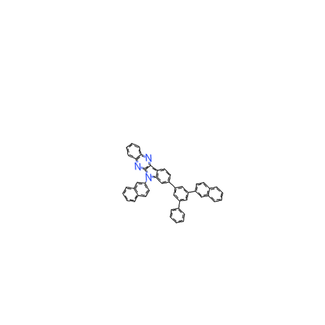 c1ccc(-c2cc(-c3ccc4ccccc4c3)cc(-c3ccc4c5nc6ccccc6nc5n(-c5ccc6ccccc6c5)c4c3)c2)cc1